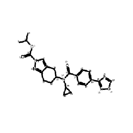 CC(C)OC(=O)n1cc2c(n1)CCC(N(C(=O)c1ccc(-c3ncon3)cc1)C1CC1)C2